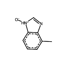 Cc1cccc2c1N=C[NH+]2[O-]